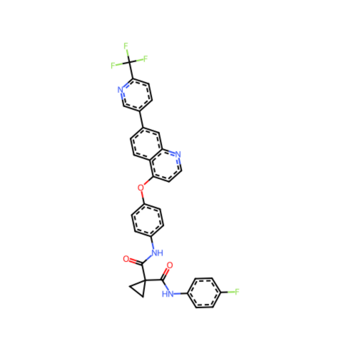 O=C(Nc1ccc(F)cc1)C1(C(=O)Nc2ccc(Oc3ccnc4cc(-c5ccc(C(F)(F)F)nc5)ccc34)cc2)CC1